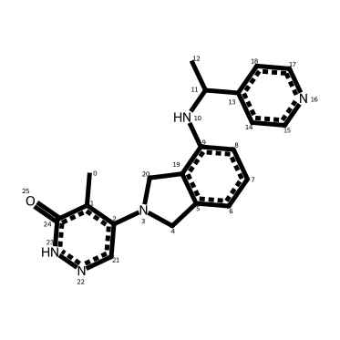 Cc1c(N2Cc3cccc(NC(C)c4ccncc4)c3C2)cn[nH]c1=O